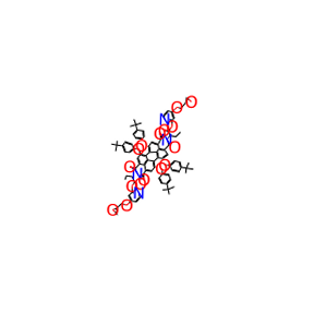 CCC(C(=O)Oc1cc(OCC2CO2)ccn1)N1C(=O)c2cc(Oc3ccc(C(C)(C)C)cc3)c3c4c(Oc5ccc(C(C)(C)C)cc5)cc5c6c(cc(Oc7ccc(C(C)(C)C)cc7)c(c7c(Oc8ccc(C(C)(C)C)cc8)cc(c2c37)C1=O)c64)C(=O)N(C(CC)C(=O)Oc1cc(OCC2CO2)ccn1)C5=O